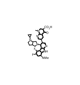 CNc1cc(F)c(F)c2c1[nH]c1ncc(-c3cnc4c(c3)c(=O)c(C(=O)O)cn4C)c(N3CC4CCN(C5CC5)C4C3)c12